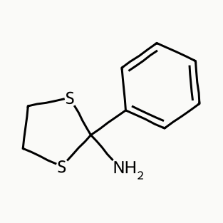 NC1(c2ccccc2)SCCS1